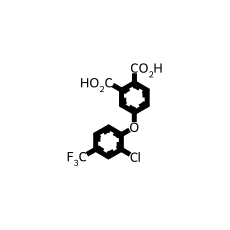 O=C(O)c1ccc(Oc2ccc(C(F)(F)F)cc2Cl)cc1C(=O)O